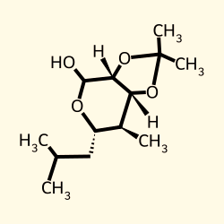 CC(C)C[C@@H]1OC(O)[C@@H]2OC(C)(C)O[C@@H]2[C@H]1C